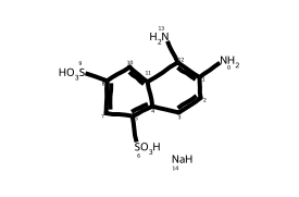 Nc1ccc2c(S(=O)(=O)O)cc(S(=O)(=O)O)cc2c1N.[NaH]